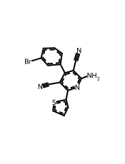 N#Cc1c(N)nc(-c2cccs2)c(C#N)c1-c1cccc(Br)c1